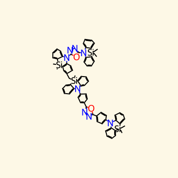 C[Si]1(C)c2ccccc2N(c2ccc(-c3nnc(-c4ccc(N5c6ccccc6[Si](C)(Cc6ccc7c(c6)[Si](C)(C)c6ccccc6N7c6nnc(N7c8ccccc8[Si](C)(C)c8ccccc87)o6)c6ccccc65)cc4)o3)cc2)c2ccccc21